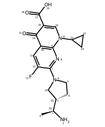 C[C@H](N)[C@H]1CCN(c2nc3c(cc2F)c(=O)c(C(=O)O)cn3C2CC2)C1